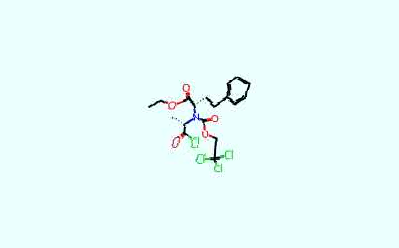 CCOC(=O)[C@H](CCc1ccccc1)N(C(=O)OCC(Cl)(Cl)Cl)[C@@H](C)C(=O)Cl